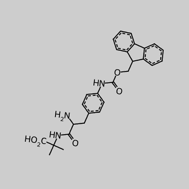 CC(C)(NC(=O)C(N)Cc1ccc(NC(=O)OCC2c3ccccc3-c3ccccc32)cc1)C(=O)O